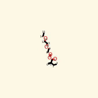 C=C(CC)C(=O)OOCCOCCOCC